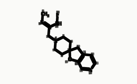 C/N=C(/CN1CCC2(CC1)Cc1ccncc1O2)NF